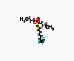 CCCCOC(=O)C(CCCC)SCCCCCCC(F)(F)F